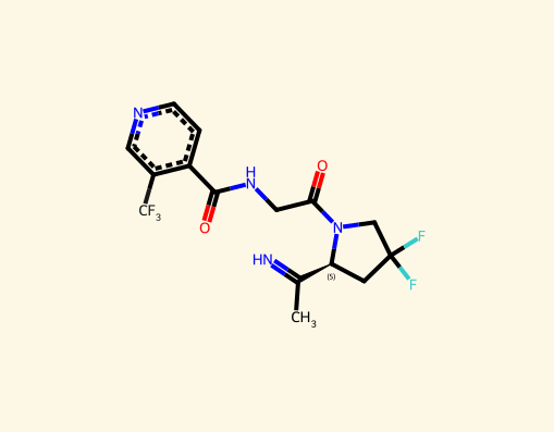 CC(=N)[C@@H]1CC(F)(F)CN1C(=O)CNC(=O)c1ccncc1C(F)(F)F